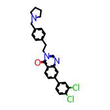 O=c1c2ccc(-c3ccc(Cl)c(Cl)c3)cc2ncn1CCc1ccc(CN2CCCC2)cc1